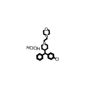 Cl.Cl.Clc1ccc(C(c2ccccc2)C2CCN(CCN3CCOCC3)CC2)cc1